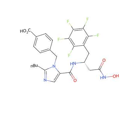 CCCCc1ncc(C(=O)N[C@@H](CC(=O)NO)Cc2c(F)c(F)c(F)c(F)c2F)n1Cc1ccc(C(=O)O)cc1